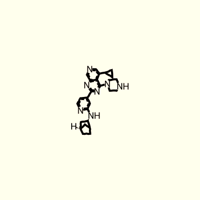 c1cc(-c2nc(N3CCNCC3)c3c(C4CC4)cncc3n2)cc(N[C@H]2C[C@@H]3CCC2C3)n1